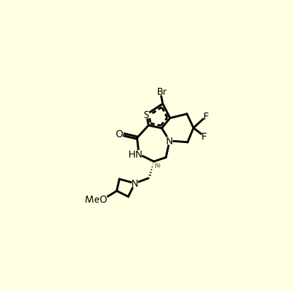 COC1CN(C[C@H]2CN3CC(F)(F)Cc4c(Br)sc(c43)C(=O)N2)C1